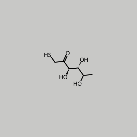 CC(O)[C@@H](O)[C@@H](O)C(=O)CS